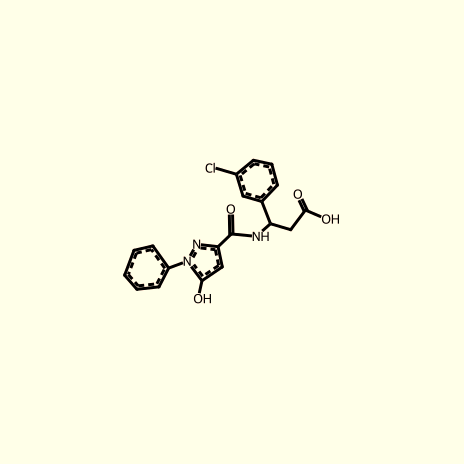 O=C(O)CC(NC(=O)c1cc(O)n(-c2ccccc2)n1)c1cccc(Cl)c1